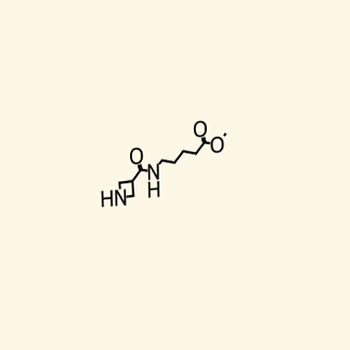 COC(=O)CCCCNC(=O)C1CNC1